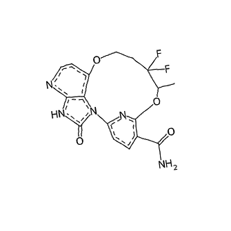 CC1Oc2nc(ccc2C(N)=O)-n2c(=O)[nH]c3nccc(c32)OCCC1(F)F